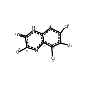 O=c1[nH]c2cc(Cl)c(Cl)c(Cl)c2nc1Cl